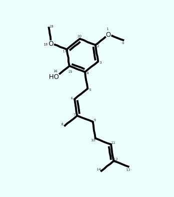 COc1cc(CC=C(C)CCC=C(C)C)c(O)c(OC)c1